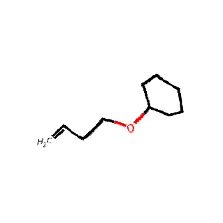 C=C[CH]COC1CCCCC1